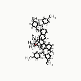 Cc1ccc(N(c2ccc3cc4c(cc3c2)C([Si](C)(C)C)([Si](C)(C)C)c2cc(N(c3ccc(C)cc3)c3cc(C)ccc3C)c3ccccc3c2-4)c2cc(C)ccc2C)cc1